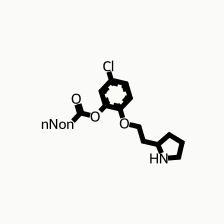 CCCCCCCCCC(=O)Oc1cc(Cl)ccc1OCCC1CCCN1